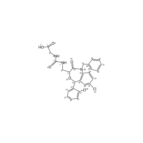 O=C(O)CNC(=O)NCC1OC(c2ccccc2Cl)c2cc(Cl)ccc2N(Cc2ccccc2)C1=O